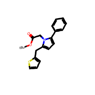 CC(C)(C)OC(=O)Cn1c(Cc2cccs2)ccc1-c1ccccc1